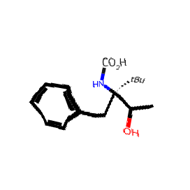 CC(O)[C@@](Cc1ccccc1)(NC(=O)O)C(C)(C)C